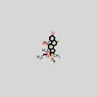 CCC(=O)O[C@]1(C(=O)SOCF)[C@H](C)CC2C3C[C@H](F)C4=CC(=O)C=C[C@]4(C)[C@@]3(F)[C@@H](O)C[C@@]21C